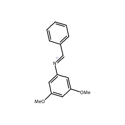 COc1cc(/N=C/c2ccccc2)cc(OC)c1